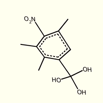 Cc1cc(C(O)(O)O)c(C)c(C)c1[N+](=O)[O-]